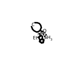 CCC1=C(C)[CH]([Ti]([CH3])([CH3])([SiH3])[NH]C(=O)C2CCCCCCCCCCC2)c2ccccc21